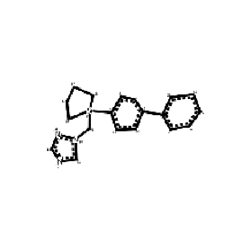 c1ccc(-c2ccc([Si]3(Cn4cncn4)CCCC3)cc2)cc1